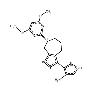 COc1cc(OC)c(F)c([C@H]2CCCc3c(-c4n[nH]cc4N)n[nH]c3C2)c1